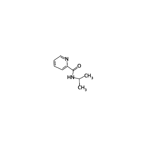 CC(C)NC(=O)c1ccccn1